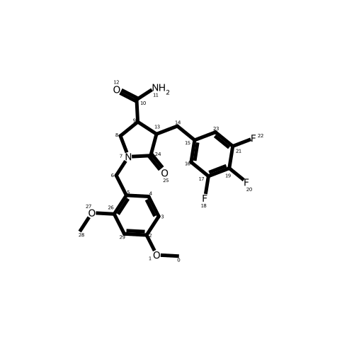 COc1ccc(CN2CC(C(N)=O)C(Cc3cc(F)c(F)c(F)c3)C2=O)c(OC)c1